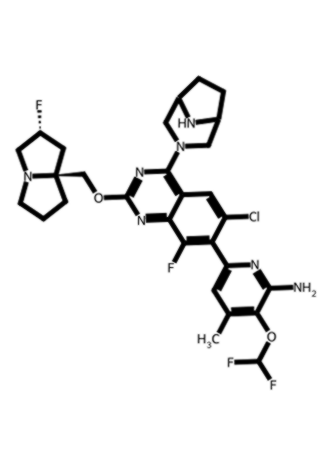 Cc1cc(-c2c(Cl)cc3c(N4CC5CCC(C4)N5)nc(OC[C@@]45CCCN4C[C@H](F)C5)nc3c2F)nc(N)c1OC(F)F